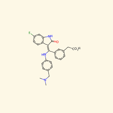 CN(C)Cc1ccc(NC(=C2C(=O)Nc3cc(F)ccc32)c2cccc(CC(=O)O)c2)cc1